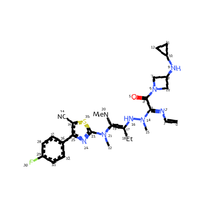 C=C/N=C(/C(=O)N1CC(NC2CC2)C1)N(C)N/C(CC)=C(\NC)N(C)c1nc(-c2ccc(F)cc2)c(C#N)s1